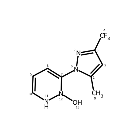 Cc1cc(C(F)(F)F)nn1C1=CC=CNN1O